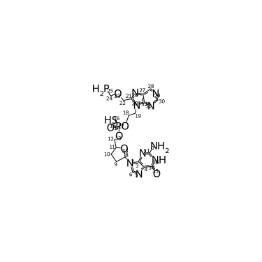 Nc1nc2c(ncn2C2CCC(COP(=O)(S)OCCn3c(COCP)nc4cncnc43)O2)c(=O)[nH]1